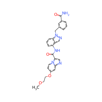 COCCOc1ccn2c(C(=O)Nc3cccc4c3cnn4Cc3cccc(C(N)=O)c3)cnc2c1